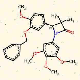 COc1ccc([C@@H]2N(c3cc(OC)c(OC)c(OC)c3)C(=O)C2(C)C)cc1OCc1ccccc1